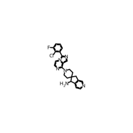 NC1c2ccncc2CC12CCN(c1nccn3c(-c4cccc(F)c4Cl)ncc13)CC2